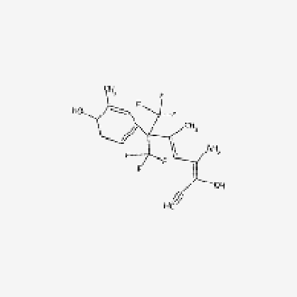 C#C/C(O)=C(N)\C=C(/C)C(C1=CCC(O)C(C)=C1)(C(F)(F)F)C(F)(F)F